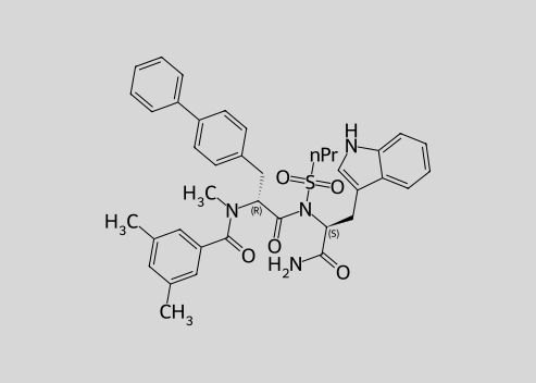 CCCS(=O)(=O)N(C(=O)[C@@H](Cc1ccc(-c2ccccc2)cc1)N(C)C(=O)c1cc(C)cc(C)c1)[C@@H](Cc1c[nH]c2ccccc12)C(N)=O